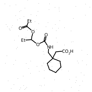 CCC(=O)OC(CC)OC(=O)NCC1(CC(=O)O)CCCCC1